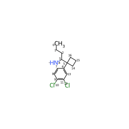 CCCC([NH])C1(c2ccc(Cl)c(Cl)c2)CCC1